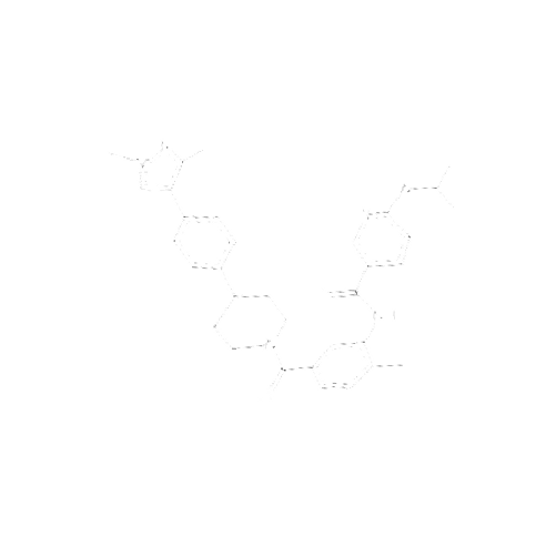 Cc1ccc(C(=O)N2CCC(c3ccc(-c4cn(C)nc4C)cc3)CC2)cc1NC(=O)c1ccc(NC(C)C)nc1